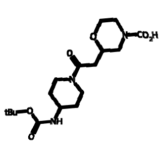 CC(C)(C)OC(=O)NC1CCN(C(=O)CC2CN(C(=O)O)CCO2)CC1